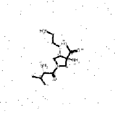 BCCC[C@H]1CN(C(=O)[C@@H](N)C(C)C)C[C@@]1(N)C(=O)O